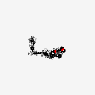 CC(=O)O[C@H]1C(=O)[C@]2(C)[C@@H](OC(=O)c3cc(C)c(C(=O)NCCCC(=O)CC[C@@H](C)NC(=O)c4ccc(NCc5cnc6nc(N)[nH]c(=O)c6n5)cc4)cc3C(=O)O)C[C@H]3OC[C@@]3(C)[C@H]2[C@H](OOCc2ccccc2)[C@]2(O)C[C@H](OC(=O)[C@H](O)[C@@H](NC(=O)c3ccccc3)c3ccccc3)C(C)=C1C2(C)C